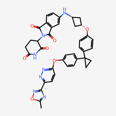 Cc1nc(-c2ccc(Oc3ccc(C4(c5ccc(O[C@H]6C[C@H](Nc7ccc8c(c7)C(=O)N(C7CCC(=O)NC7=O)C8=O)C6)cc5)CC4)cc3)nn2)no1